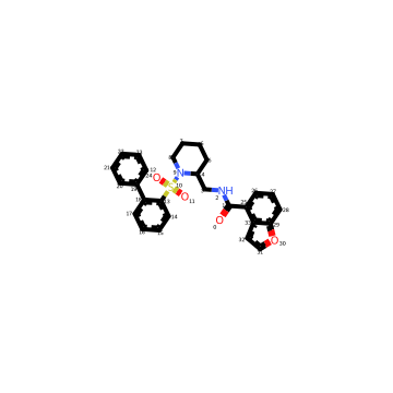 O=C(NCC1CCCCN1S(=O)(=O)c1ccccc1-c1ccccc1)c1cccc2occc12